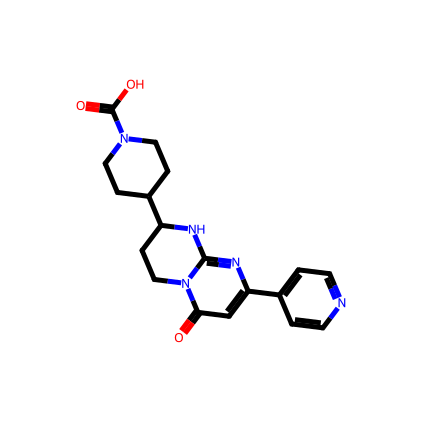 O=C(O)N1CCC(C2CCn3c(nc(-c4ccncc4)cc3=O)N2)CC1